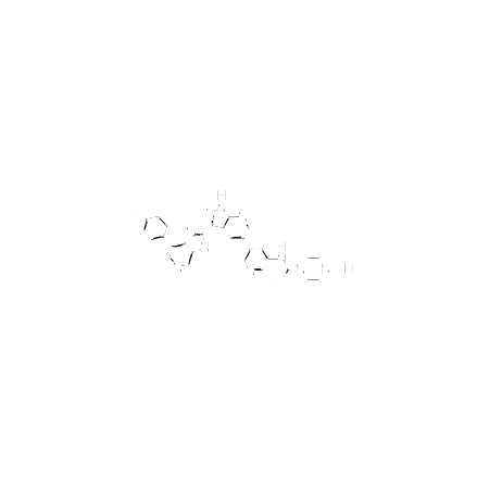 Cc1ccc(-c2cncc3[nH]c(-c4n[nH]c5ncc(-c6cncc(NC(=O)N7CCN(C)CC7)c6)cc45)nc23)cc1